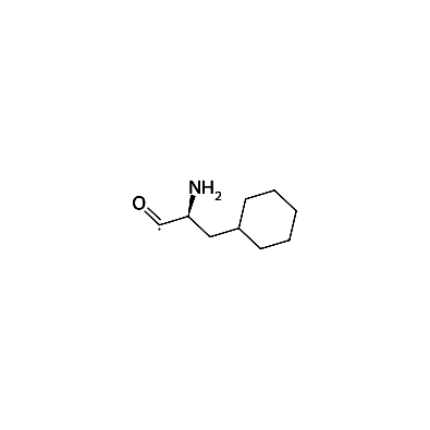 N[C@H]([C]=O)CC1CCCCC1